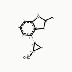 CC1Cc2c(cccc2[C@@H]2C[C@H]2C=O)O1